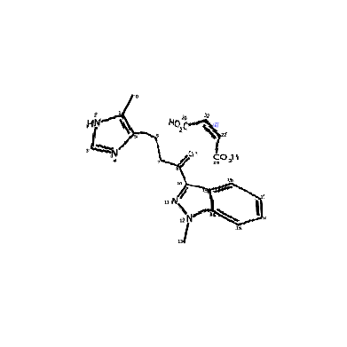 Cc1[nH]cnc1CCC(=O)c1nn(C)c2ccccc12.O=C(O)/C=C\C(=O)O